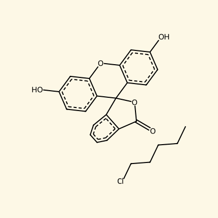 CCCCCCl.O=C1OC2(c3ccc(O)cc3Oc3cc(O)ccc32)c2ccccc21